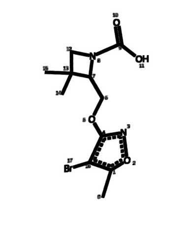 Cc1onc(OCC2N(C(=O)O)CC2(C)C)c1Br